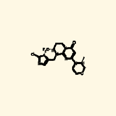 C[C@@H]1COCCN1c1cc(=O)n2c(n1)N(Cc1cnc(Cl)s1)[C@H](C(F)(F)F)CC2